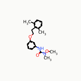 CON(C)C(=O)Nc1cccc(OCCc2c(C)cccc2C)c1